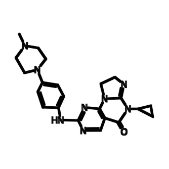 CN1CCN(c2ccc(Nc3ncc4c(n3)N3CCN=C3N(C3CC3)C4=O)cc2)CC1